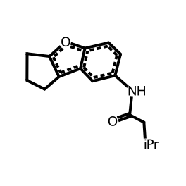 CC(C)CC(=O)Nc1ccc2oc3c(c2c1)CCC3